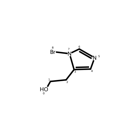 OCCc1cncn1Br